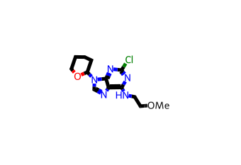 COCCNc1nc(Cl)nc2c1ncn2C1CCCCO1